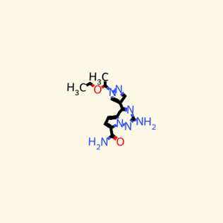 CCOC(C)n1cc(-c2nc(N)nn3c(C(N)=O)ccc23)cn1